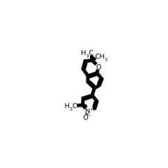 Cc1cc(-c2ccc3c(c2)C=CC(C)(C)O3)cc[n+]1[O-]